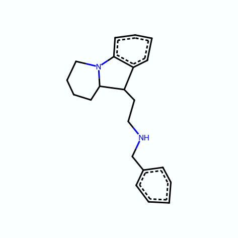 c1ccc(CNCCC2c3ccccc3N3CCCCC23)cc1